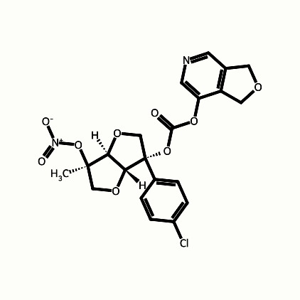 C[C@@]1(O[N+](=O)[O-])CO[C@@H]2[C@@H]1OC[C@@]2(OC(=O)Oc1cncc2c1COC2)c1ccc(Cl)cc1